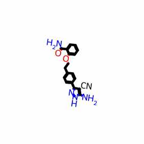 N#Cc1c(-c2ccc(CCOc3ccccc3C(N)=O)cc2)n[nH]c1N